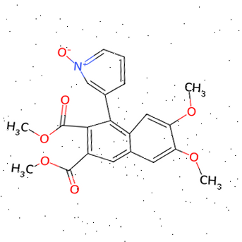 COC(=O)c1cc2cc(OC)c(OC)cc2c(-c2ccc[n+]([O-])c2)c1C(=O)OC